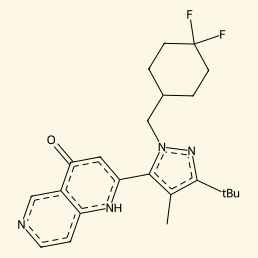 Cc1c(C(C)(C)C)nn(CC2CCC(F)(F)CC2)c1-c1cc(=O)c2cnccc2[nH]1